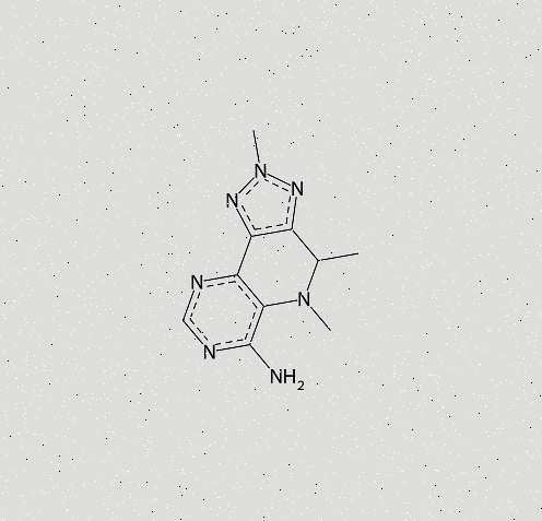 CC1c2nn(C)nc2-c2ncnc(N)c2N1C